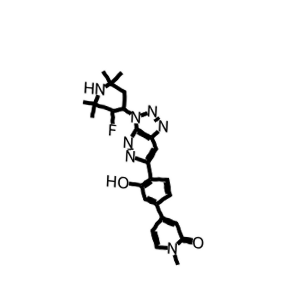 Cn1ccc(-c2ccc(-c3cc4nnn(C5CC(C)(C)NC(C)(C)C5F)c4nn3)c(O)c2)cc1=O